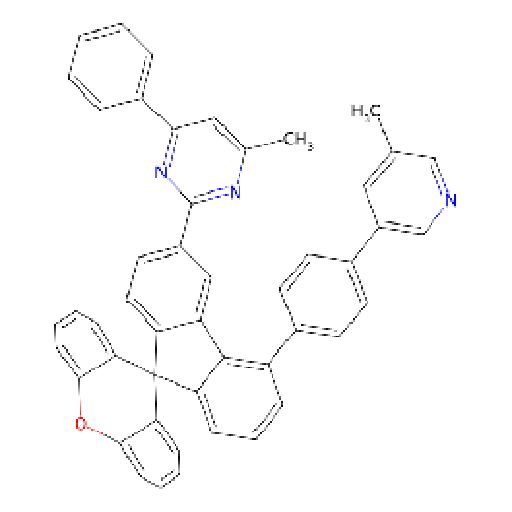 Cc1cncc(-c2ccc(-c3cccc4c3-c3cc(-c5nc(C)cc(-c6ccccc6)n5)ccc3C43c4ccccc4Oc4ccccc43)cc2)c1